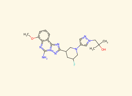 COc1cccc2c1nc(N)n1nc(C3CC(F)CN(c4cnn(CC(C)(C)O)c4)C3)nc21